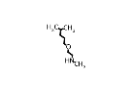 CNCCOCCCC(C)C